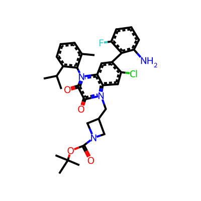 Cc1cccc(C(C)C)c1-n1c(=O)c(=O)n(CC2CN(C(=O)OC(C)(C)C)C2)c2cc(Cl)c(-c3c(N)cccc3F)cc21